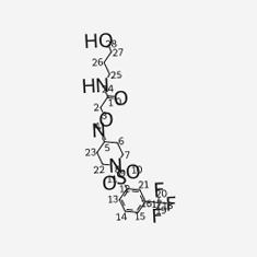 O=C(CON=C1CCN(S(=O)(=O)c2cccc(C(F)(F)F)c2)CC1)NCCCO